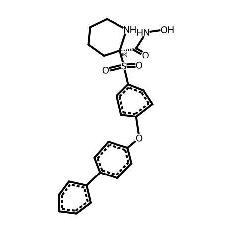 O=C(NO)[C@]1(S(=O)(=O)c2ccc(Oc3ccc(-c4ccccc4)cc3)cc2)CCCCN1